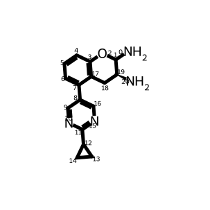 NC1Oc2cccc(-c3cnc(C4CC4)nc3)c2C[C@@H]1N